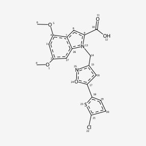 COc1cc(OC)c2cc(C(=O)O)n(Cc3cc(-c4ccc(Cl)s4)on3)c2c1